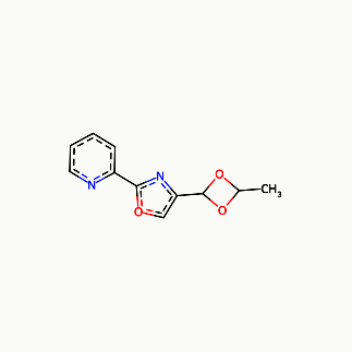 CC1OC(c2coc(-c3ccccn3)n2)O1